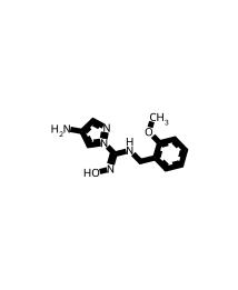 COc1ccccc1CNC(=NO)n1cc(N)cn1